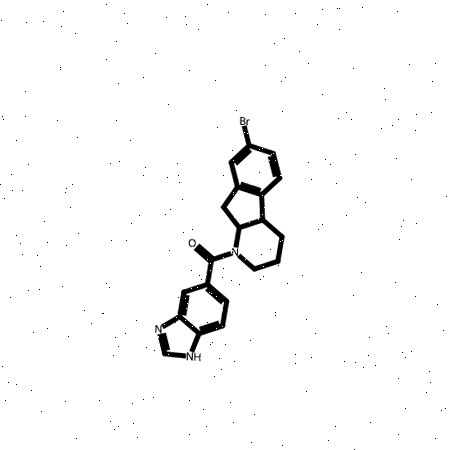 O=C(c1ccc2[nH]cnc2c1)N1CCCC2c3ccc(Br)cc3CC21